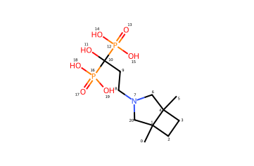 CC12CCC1(C)CN(CCC(O)(P(=O)(O)O)P(=O)(O)O)C2